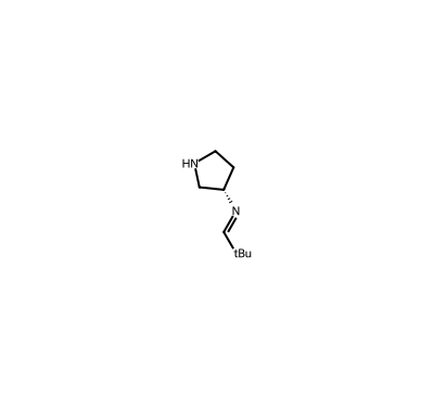 CC(C)(C)C=N[C@H]1CCNC1